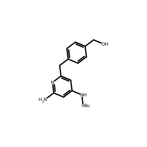 CCCCNc1cc(N)nc(Cc2ccc(CO)cc2)c1